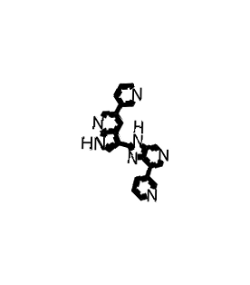 c1cncc(-c2cnc3[nH]cc(-c4nc5c(-c6cccnc6)cncc5[nH]4)c3c2)c1